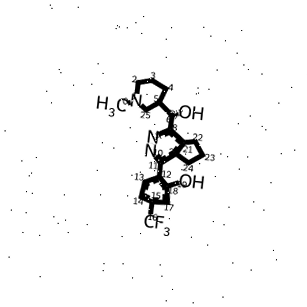 CN1CCCC([C@@H](O)c2nnc(-c3ccc(C(F)(F)F)cc3O)c3c2CCC3)C1